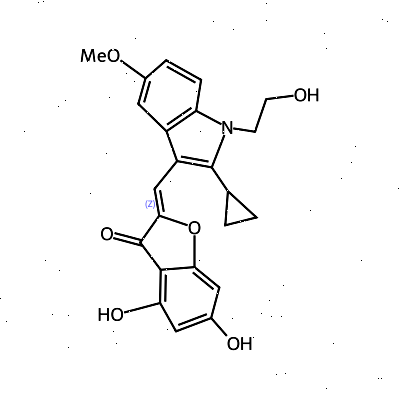 COc1ccc2c(c1)c(/C=C1\Oc3cc(O)cc(O)c3C1=O)c(C1CC1)n2CCO